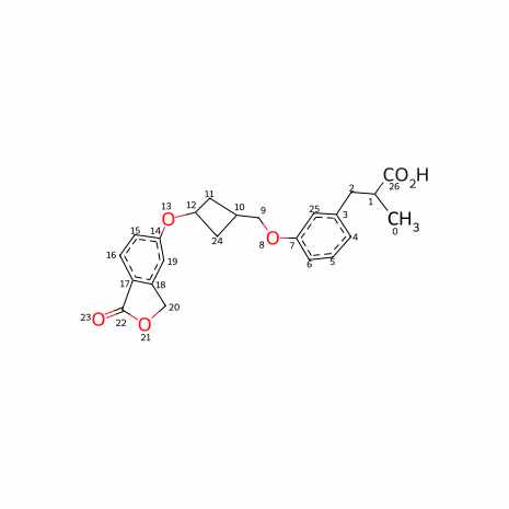 CC(Cc1cccc(OCC2CC(Oc3ccc4c(c3)COC4=O)C2)c1)C(=O)O